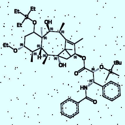 CCO[C@@H]1CC(O[Si](CC)(CC)CC)[C@]2(C)[C@@H]([C@H]1C)[C@H](C)[C@]1(O)C[C@H](OC(=O)[C@H](O[Si](C)(C)C(C)(C)C)[C@@H](NC(=O)c3ccccc3)c3ccccc3)C(C)=C([C@H](C)[C@@H]2O)C1(C)C